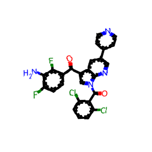 Nc1c(F)ccc(C(=O)c2cn(C(=O)c3c(Cl)cccc3Cl)c3ncc(-c4ccncc4)cc23)c1F